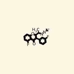 C[C@@H](N=[N+]=[N-])c1oc2cccc(F)c2c(=O)c1-c1cccc(F)c1